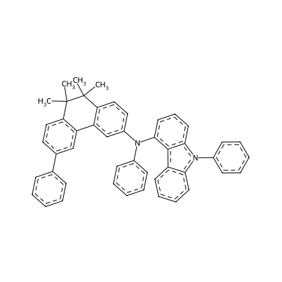 CC1(C)c2ccc(-c3ccccc3)cc2-c2cc(N(c3ccccc3)c3cccc4c3c3ccccc3n4-c3ccccc3)ccc2C1(C)C